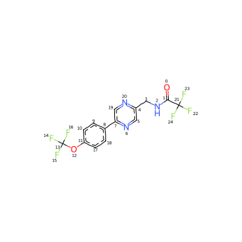 O=C(NCc1cnc(-c2ccc(OC(F)(F)F)cc2)cn1)C(F)(F)F